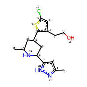 Cc1cc(C2CC(c3sc(Cl)cc3CCO)CC(C)N2)[nH]n1